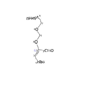 CCCC/C=C(\C=O)OCOCCCCCCCC